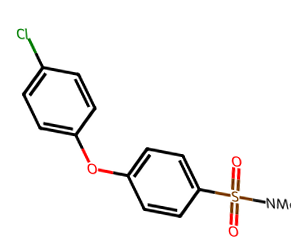 CNS(=O)(=O)c1ccc(Oc2ccc(Cl)cc2)cc1